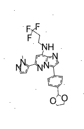 Cn1nccc1-c1cc(NCCC(F)(F)F)c2ncc(-c3ccc(C4OCCO4)cc3)n2n1